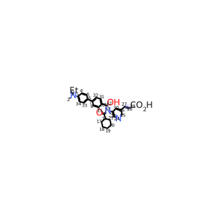 CCN(C)c1ccc(-c2ccc(C(O)N(C(=O)C3CCCCC3)c3cncc(/C=C/C(=O)O)c3)cc2)cc1